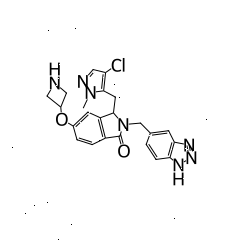 Cn1ncc(Cl)c1CC1c2cc(OC3CNC3)ccc2C(=O)N1Cc1ccc2[nH]nnc2c1